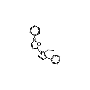 C1=C[N+](C2C=CN(c3ccccc3)O2)C2=C1c1ccccc1CC2